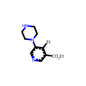 CCOC(=O)c1cn[c]c(N2CCNCC2)c1CC